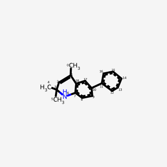 CC1=CC(C)(C)Nc2ccc(-c3ccccc3)cc21